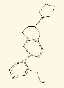 COc1ccccc1-c1ccc2c(c1)CCC(N1CCCC1)C2